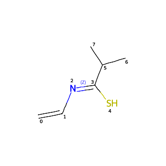 C=C/N=C(\S)C(C)C